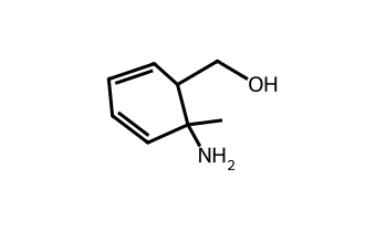 CC1(N)C=CC=CC1CO